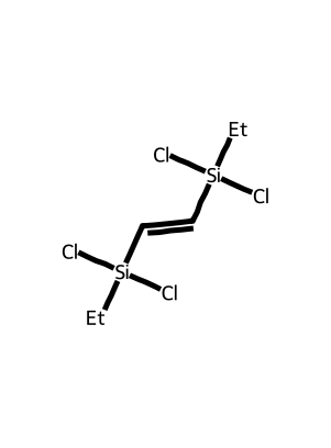 CC[Si](Cl)(Cl)/C=C/[Si](Cl)(Cl)CC